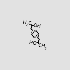 C=C(O)CN1CCN(CC(=C)O)CC1